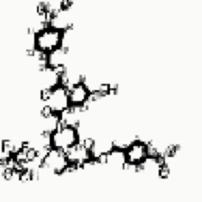 CC(=NC(=O)OCc1ccc([N+](=O)[O-])cc1)N1CCN(C(=O)[C@@H]2C[C@H](S)CN2C(=O)OCc2ccc([N+](=O)[O-])cc2)C[C@@H]1C.O=S(=O)(O)C(F)(F)F